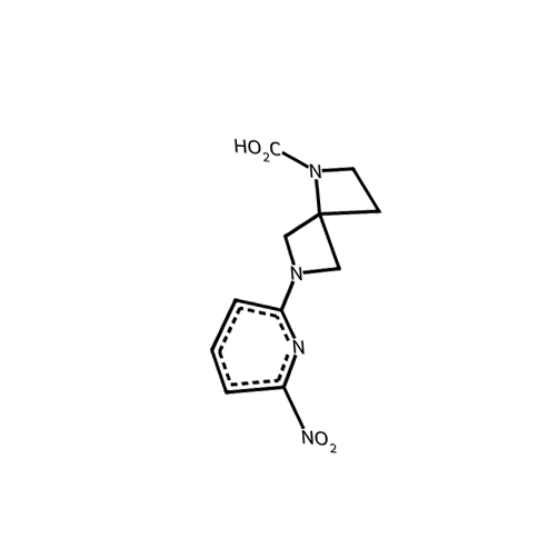 O=C(O)N1CCC12CN(c1cccc([N+](=O)[O-])n1)C2